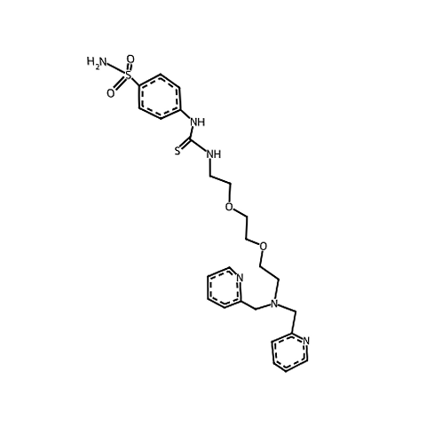 NS(=O)(=O)c1ccc(NC(=S)NCCOCCOCCN(Cc2ccccn2)Cc2ccccn2)cc1